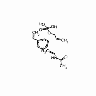 C=CCOP(=O)(O)O.C=CNC(C)=O.C=Cc1ccccc1